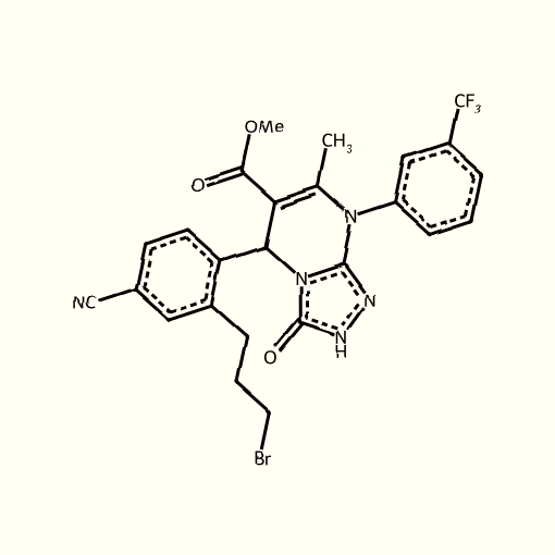 COC(=O)C1=C(C)N(c2cccc(C(F)(F)F)c2)c2n[nH]c(=O)n2C1c1ccc(C#N)cc1CCCBr